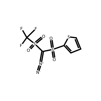 [N-]=[N+]=C(S(=O)(=O)c1cccs1)S(=O)(=O)C(F)(F)F